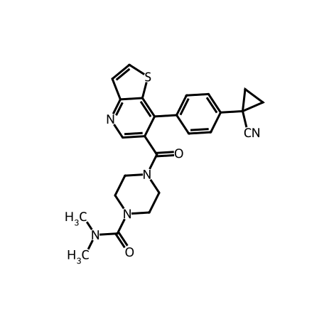 CN(C)C(=O)N1CCN(C(=O)c2cnc3ccsc3c2-c2ccc(C3(C#N)CC3)cc2)CC1